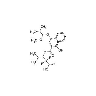 COC(Oc1cc(C(=O)OC(C(C)C)C(F)(F)C(=O)O)c(O)c2ccccc12)C(C)C